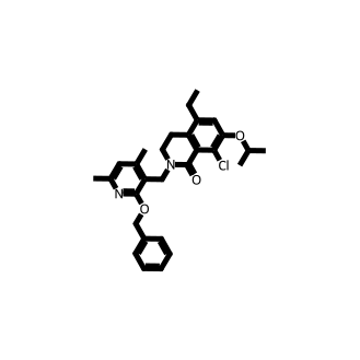 CCc1cc(OC(C)C)c(Cl)c2c1CCN(Cc1c(C)cc(C)nc1OCc1ccccc1)C2=O